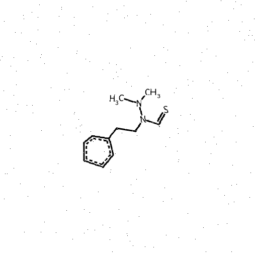 CN(C)N([C]=S)CCc1ccccc1